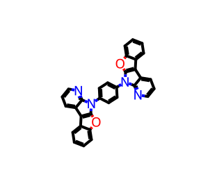 c1ccc2c(c1)oc1c2c2cccnc2n1-c1ccc(-n2c3ncccc3c3c4ccccc4oc32)cc1